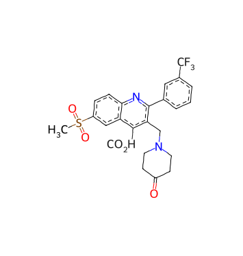 CS(=O)(=O)c1ccc2nc(-c3cccc(C(F)(F)F)c3)c(CN3CCC(=O)CC3)c(C(=O)O)c2c1